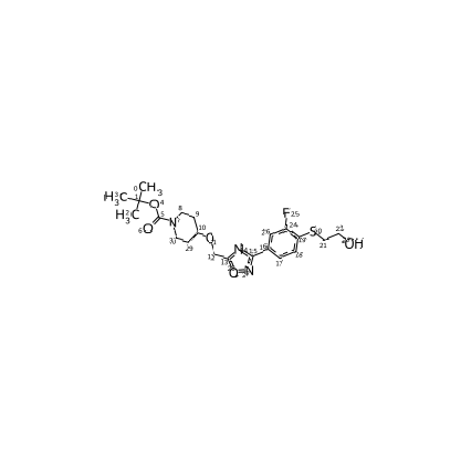 CC(C)(C)OC(=O)N1CCC(OCc2nc(-c3ccc(SCCO)c(F)c3)no2)CC1